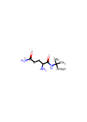 CCCCCCCC(C)(CCCC)NC(=O)C(N)CCC(N)=O